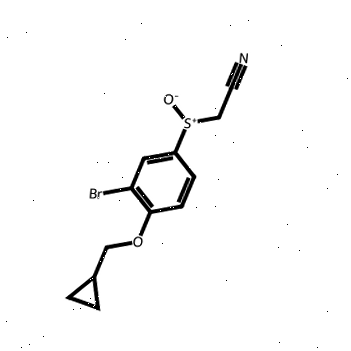 N#CC[S+]([O-])c1ccc(OCC2CC2)c(Br)c1